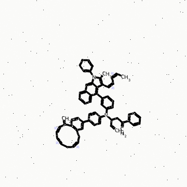 C=CC(CC(=C)c1ccccc1)N(c1ccc(-c2ccc3c(c2)C/C=C\C/C=C\C=C/C3=C)cc1)c1cccc(-c2c3ccccc3cc3c2c(/C=C\C=C/C)c(C)n3C2=CCCC=C2)c1